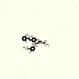 COc1cc(S(=O)(=O)N2CC(CNC(C)=O)Oc3ccc(C=C(C)c4c(F)cccc4Cl)cc32)ccc1F